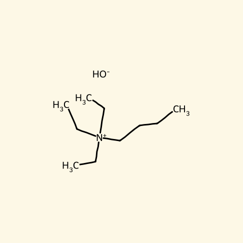 CCCC[N+](CC)(CC)CC.[OH-]